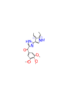 C/C=c1/c(-c2nc(C(=O)c3cc(OC)c(OC)c(OC)c3)c[nH]2)c[nH]/c1=C/C